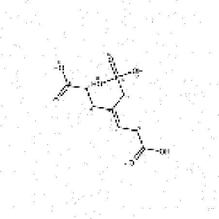 O=C(O)C/C=C(/CCC(=O)O)CP(=O)(O)O